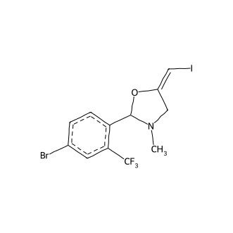 CN1C/C(=C\I)OC1c1ccc(Br)cc1C(F)(F)F